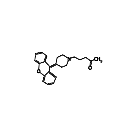 CC(=O)CCCN1CCC(=C2c3ccccc3Oc3ccccc32)CC1